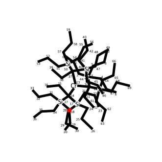 CCC[Si](CCC)(CCC)[C](CC)([Cr]([C](CC)([Si](CCC)(CCC)CCC)[Si](CCC)(CCC)CCC)[C](CC)([Si](CCC)(CCC)CCC)[Si](CCC)(CCC)CCC)[Si](CCC)(CCC)CCC